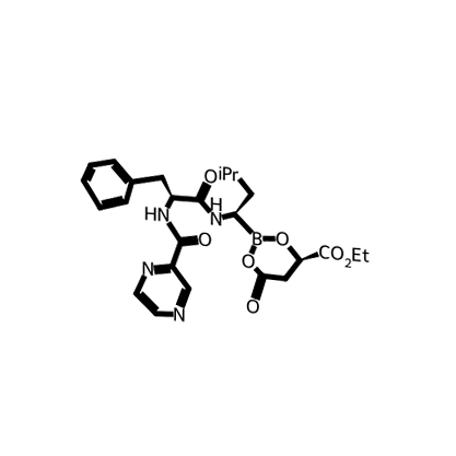 CCOC(=O)[C@H]1CC(=O)OB([C@H](CC(C)C)NC(=O)[C@H](Cc2ccccc2)NC(=O)c2cnccn2)O1